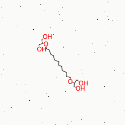 OCC(CO)OCCCCCCCCCCCCOC(CO)CO